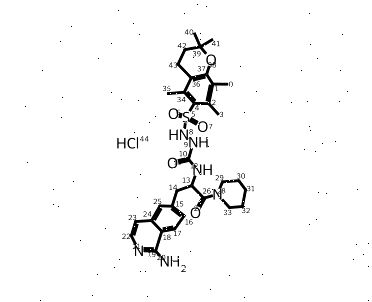 Cc1c(C)c(S(=O)(=O)NNC(=O)NC(Cc2ccc3c(N)nccc3c2)C(=O)N2CCCCC2)c(C)c2c1OC(C)(C)CC2.Cl